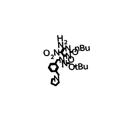 CCCCOc1nc(N)c([N+](=O)[O-])c(N(Cc2cccc(CN3CCCC3)c2)N(C)C(=O)OC(C)(C)C)n1